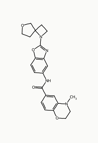 CN1CCOc2ccc(C(=O)Nc3ccc4oc(N5CCC56CCOC6)nc4c3)cc21